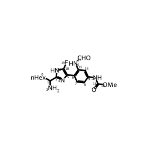 CCCCCCC(N)c1nc(-c2ccc(NC(=O)OC)cc2NC=O)c(F)[nH]1